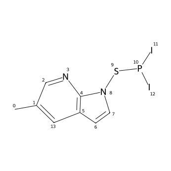 Cc1cnc2c(ccn2SP(I)I)c1